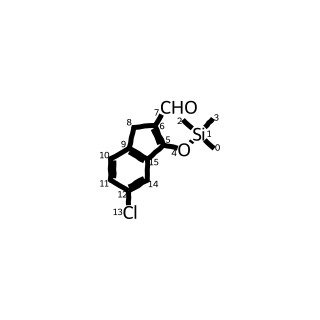 C[Si](C)(C)OC1=C(C=O)Cc2ccc(Cl)cc21